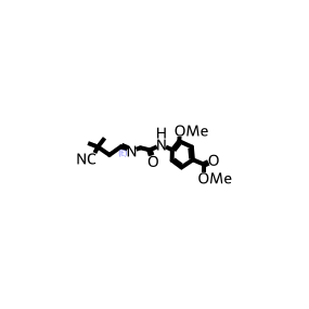 COC(=O)c1ccc(NC(=O)C/N=C/CC(C)(C)C#N)c(OC)c1